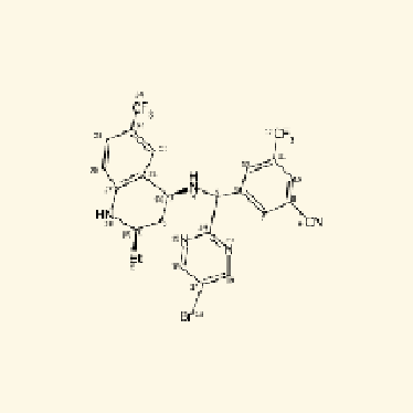 CC[C@@H]1C[C@H](NC(c2cc(C#N)cc(C(F)(F)F)c2)c2ncc(Br)cn2)c2cc(C(F)(F)F)ccc2N1